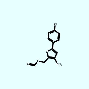 Nc1cc(-c2ccc(Cl)cc2)oc1COC=O